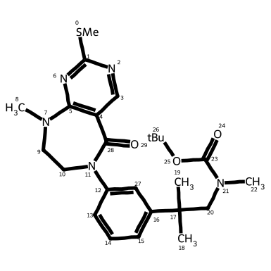 CSc1ncc2c(n1)N(C)CCN(c1cccc(C(C)(C)CN(C)C(=O)OC(C)(C)C)c1)C2=O